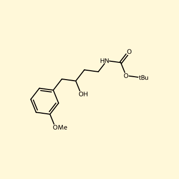 COc1cccc(CC(O)CCNC(=O)OC(C)(C)C)c1